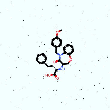 COc1ccc(CN2C(=O)C(N[C@@H](CCc3ccccc3)C(=O)O)COc3ccccc32)cc1